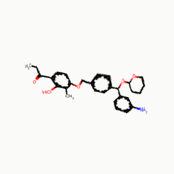 CCC(=O)c1ccc(OCc2ccc(C(OC3CCCCO3)c3cccc(N)c3)cc2)c(C)c1O